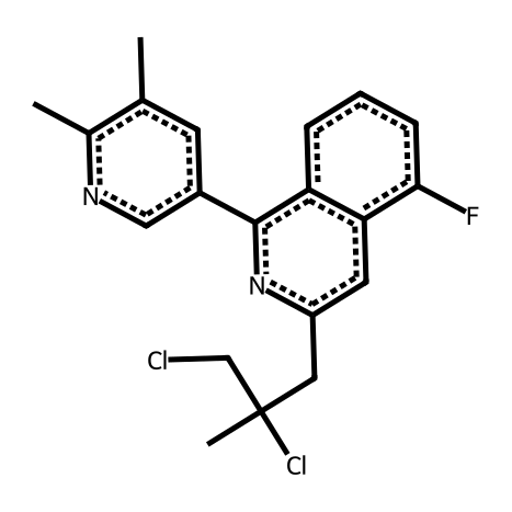 Cc1cc(-c2nc(CC(C)(Cl)CCl)cc3c(F)cccc23)cnc1C